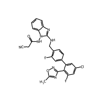 Cc1nc(-c2c(F)cc(Cl)cc2-c2ccc(CNc3nc4ccccc4n3NC(=O)CC#N)c(F)c2)no1